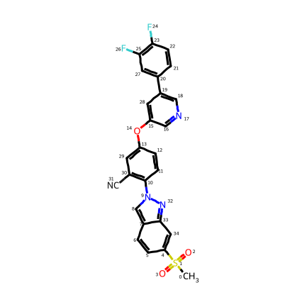 CS(=O)(=O)c1ccc2cn(-c3ccc(Oc4cncc(-c5ccc(F)c(F)c5)c4)cc3C#N)nc2c1